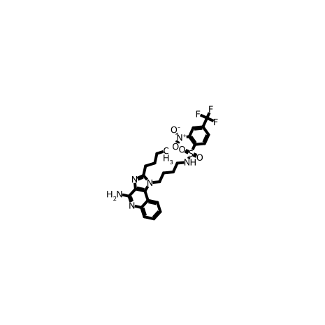 CCCCc1nc2c(N)nc3ccccc3c2n1CCCCNS(=O)(=O)c1ccc(C(F)(F)F)cc1[N+](=O)[O-]